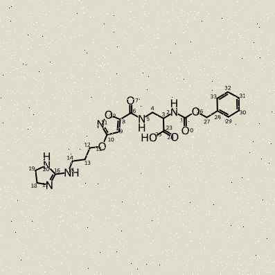 O=C(NC(CNC(=O)c1cc(OCCCNC2=NCCN2)no1)C(=O)O)OCc1ccccc1